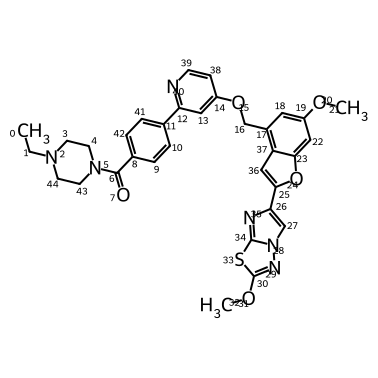 CCN1CCN(C(=O)c2ccc(-c3cc(OCc4cc(OC)cc5oc(-c6cn7nc(OC)sc7n6)cc45)ccn3)cc2)CC1